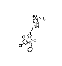 Nc1nc(NCCCn2cc(C(=O)NCc3ccccc3)c(-c3ccc(Cl)cc3Cl)c2)ccc1[N+](=O)[O-]